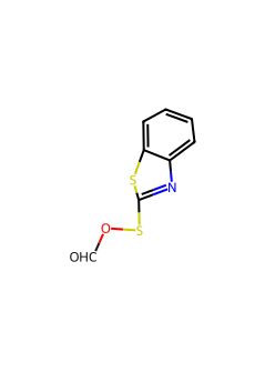 O=COSc1nc2ccccc2s1